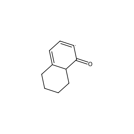 O=C1[C]=CC=C2CCCCC12